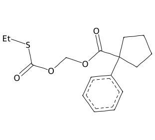 CCSC(=O)OCOC(=O)C1(c2ccccc2)CCCC1